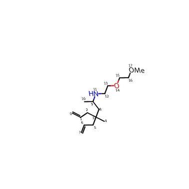 C=CCC(C)(CC=C)CC(C)NCCOCCOC